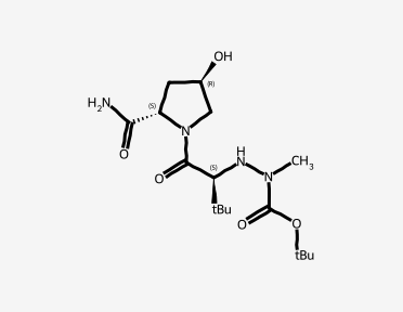 CN(N[C@H](C(=O)N1C[C@H](O)C[C@H]1C(N)=O)C(C)(C)C)C(=O)OC(C)(C)C